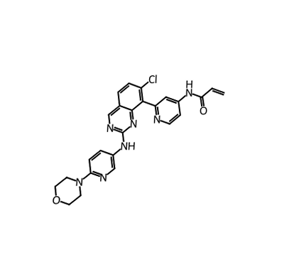 C=CC(=O)Nc1ccnc(-c2c(Cl)ccc3cnc(Nc4ccc(N5CCOCC5)nc4)nc23)c1